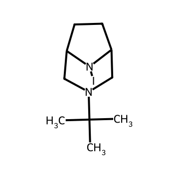 CC(C)(C)N1CC2CCC(C1)N2I